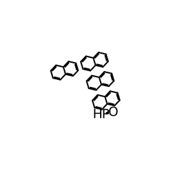 O=P.c1ccc2ccccc2c1.c1ccc2ccccc2c1.c1ccc2ccccc2c1.c1ccc2ccccc2c1